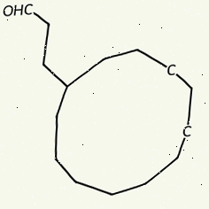 O=CCCC1CCCCCCCCCCC1